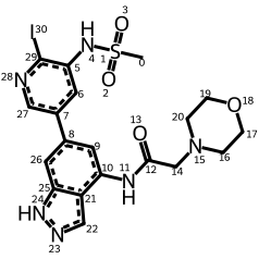 CS(=O)(=O)Nc1cc(-c2cc(NC(=O)CN3CCOCC3)c3cn[nH]c3c2)cnc1I